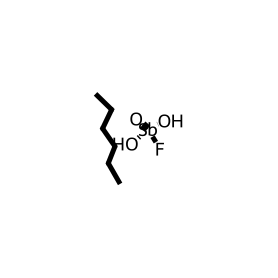 CCCCCC.[O]=[Sb]([OH])([OH])[F]